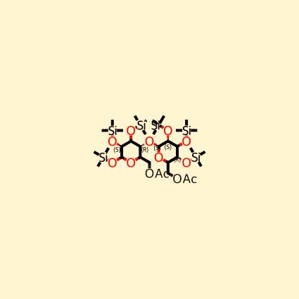 CC(=O)OCC1OC(O[Si](C)(C)C)[C@@H](O[Si](C)(C)C)C(O[Si](C)(C)C)[C@@H]1O[C@@H]1OC(COC(C)=O)[C@@H](O[Si](C)(C)C)C(O[Si](C)(C)C)[C@@H]1O[Si](C)(C)C